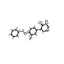 O=c1[nH]cncc1-c1ccc(OCc2ccccc2)c(F)c1